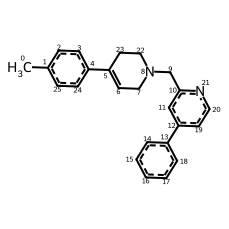 Cc1ccc(C2=CCN(Cc3cc(-c4ccccc4)ccn3)CC2)cc1